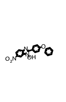 O=[N+]([O-])c1ccc2nc(-c3ccc(Oc4ccccc4)cc3)n(O)c2c1